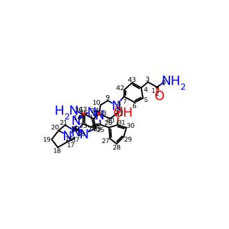 NC(=O)Cc1ccc(N2CCC(c3cnc(N4C5CCC4CN(c4cc(-c6ccccc6O)nnc4N)C5)nc3)CC2)cc1